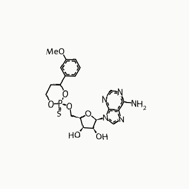 COc1cccc(C2CCOP(=S)(OC[C@H]3O[C@@H](n4cnc5c(N)ncnc54)[C@@H](O)[C@H]3O)O2)c1